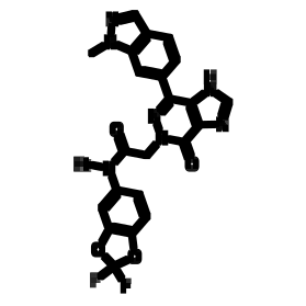 CCN(C(=O)Cn1nc(-c2ccc3cnn(C)c3c2)c2[nH]cnc2c1=O)c1ccc2c(c1)OC(F)(F)O2